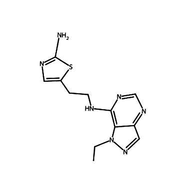 CCn1ncc2ncnc(NCCc3cnc(N)s3)c21